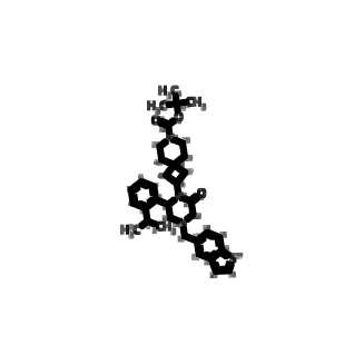 CC(C)c1ccccc1C1CN(Cc2ccc3sccc3c2)CC(=O)N1C1CC2(CCN(C(=O)OC(C)(C)C)CC2)C1